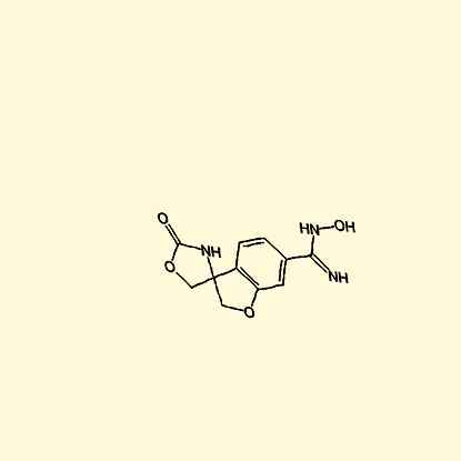 N=C(NO)c1ccc2c(c1)OCC21COC(=O)N1